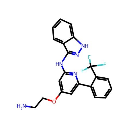 NCCOc1cc(Nc2n[nH]c3ccccc23)nc(-c2ccccc2C(F)(F)F)c1